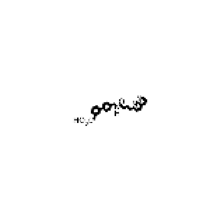 O=C(O)Cc1cccc(-c2ccc(CNC(=O)CCCc3ccc4cccnc4n3)cc2)c1